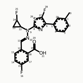 Cc1cccc(-c2nc(N(/N=C/c3ccc(F)cc3C(=O)O)C3CC3F)sc2F)c1